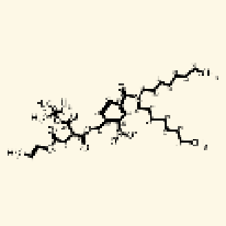 CC=COC(=O)CC(C(=O)OCc1ccc(C(=O)N(CCCCCCCC)CCCCCCCC)cc1[N+](=O)[O-])C(=O)OC(C)(C)C